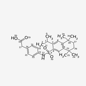 CC(C)c1cc2c(cc1S(=O)(=O)Nc1ccc(CC(=O)O)cc1)C(C)(C)CCC2(C)C